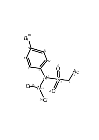 CC(=O)CS(=O)(=O)N(c1ccc(Br)cc1)N(Cl)Cl